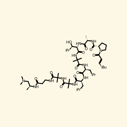 CC[C@H](C)/C=C/C(=O)N1CCC[C@H]1C(=O)N[C@@H](C)C(=O)N[C@H](C(=O)NC(C)(C)C(=O)N[C@@H](CC(C)C)C(=O)N[C@@H](CC(C)C)C(=O)NC(C)(C)C(=O)NC(C)(C)C(=O)NCCC(=O)N[C@@H](C)CN(C)C)[C@H](O)C(C)C